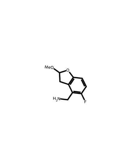 COC1Cc2c(ccc(F)c2CN)O1